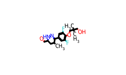 CC1CC(C=O)NN=C1c1cc(F)c(OCC(C)(C)CO)c(F)c1